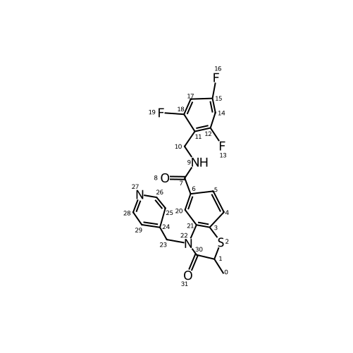 CC1Sc2ccc(C(=O)NCc3c(F)cc(F)cc3F)cc2N(Cc2ccncc2)C1=O